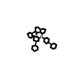 c1ccc(-c2ccc(N(c3cccc(-c4ccccc4)c3)c3cccc4ccc5c6ccccc6oc5c34)cc2)cc1